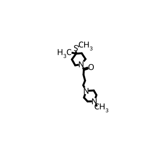 CSC1(C)CCN(C(=O)CCCN2CCN(C)CC2)CC1